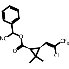 CC1(C)[C@H](/C=C(\Cl)C(F)(F)F)[C@@H]1C(=O)OC(C#N)c1ccccc1